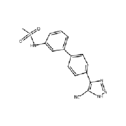 CS(=O)(=O)Nc1cccc(-c2ccc(-c3nn[nH]c3C#N)cc2)c1